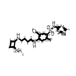 NC1CCC1NCCCCNc1cc(F)c(S(=O)(=O)Nc2ncns2)cc1Cl